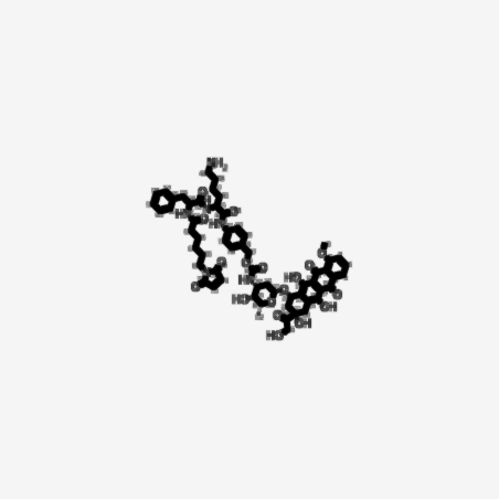 COc1cccc2c1C(=O)c1c(O)c3c(c(O)c1C2=O)C[C@](O)(C(=O)CO)C[C@H]3O[C@@H]1C[C@@H](NC(=O)OCc2ccc(NC(=O)C(CCCCN)NC(=O)C(Cc3ccccc3)NC(=O)CCCCCN3C(=O)C=CC3=O)cc2)[C@@H](O)[C@@H](C)O1